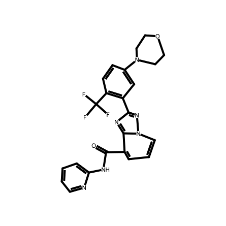 O=C(Nc1ccccn1)c1cccn2nc(-c3cc(N4CCOCC4)ccc3C(F)(F)F)nc12